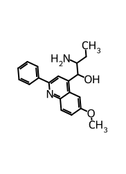 CCC(N)C(O)c1cc(-c2ccccc2)nc2ccc(OC)cc12